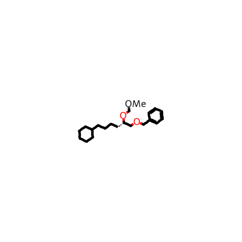 COCO[C@@H](CCCCC1CCCCC1)COCc1ccccc1